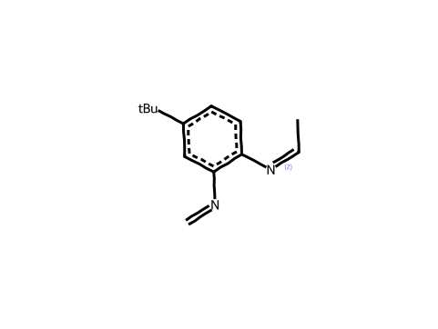 C=Nc1cc(C(C)(C)C)ccc1/N=C\C